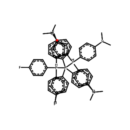 CN(C)c1ccc([PH](c2ccc(N(C)C)cc2)(c2ccc(N(C)C)cc2)P(c2ccc(Cl)cc2)(c2ccc(Cl)cc2)(c2ccc(Cl)cc2)[PH](c2ccc(F)cc2)(c2ccc(F)cc2)c2ccc(F)cc2)cc1